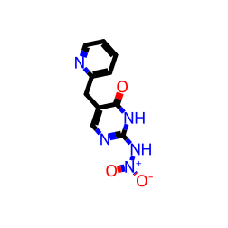 O=c1[nH]c(N[N+](=O)[O-])ncc1Cc1ccccn1